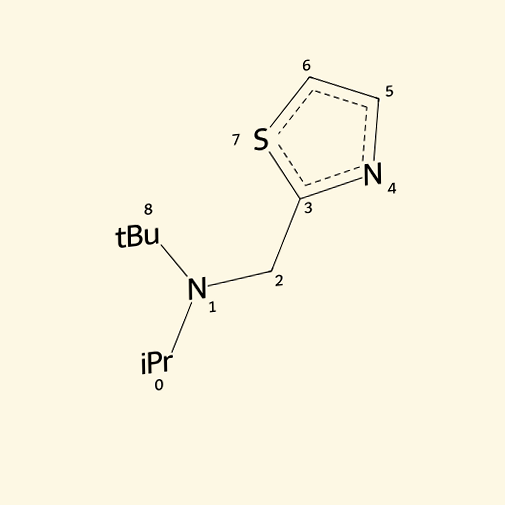 CC(C)N(Cc1nccs1)C(C)(C)C